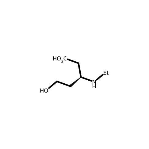 CCN[C@@H](CCO)CC(=O)O